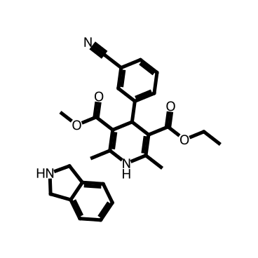 CCOC(=O)C1=C(C)NC(C)=C(C(=O)OC)C1c1cccc(C#N)c1.c1ccc2c(c1)CNC2